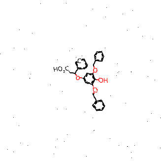 O=C(O)CC(Oc1cc(OCc2ccccc2)c(O)c(OCc2ccccc2)c1)c1ccccc1